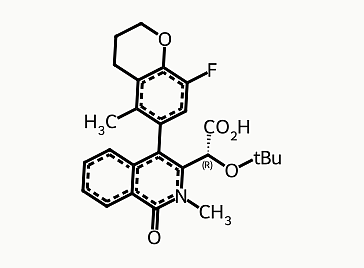 Cc1c(-c2c([C@@H](OC(C)(C)C)C(=O)O)n(C)c(=O)c3ccccc23)cc(F)c2c1CCCO2